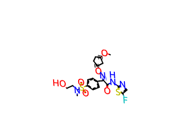 CO[C@@H]1CC[C@@H](O/N=C(/C(=O)Nc2ncc(F)s2)c2ccc(S(=O)(=O)N(C)CCO)cc2)C1